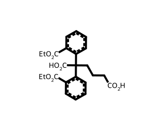 CCOC(=O)c1ccccc1C(CCCC(=O)O)(C(=O)O)c1ccccc1C(=O)OCC